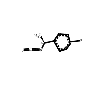 C[C@H](N=C=S)c1ccc(F)cc1